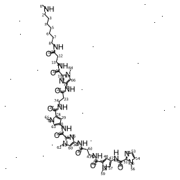 CNCCCCCCCNC(=O)CCNC(=O)c1nc(NC(=O)CCNC(=O)c2cc(NC(=O)c3nc(NC(=O)CCNC(=O)c4cc(NC(=O)c5nccn5C)cn4C)cn3C)cn2C)cn1C